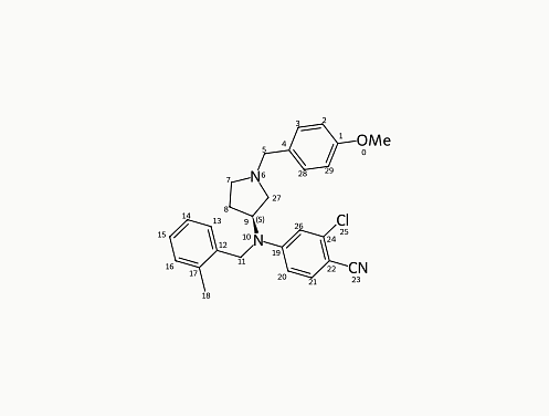 COc1ccc(CN2CC[C@H](N(Cc3ccccc3C)c3ccc(C#N)c(Cl)c3)C2)cc1